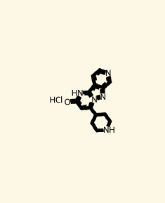 Cl.O=c1cc(C2CCNCC2)n2nc3cnccc3c2[nH]1